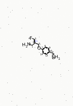 NC/C(=C\F)COc1ccc(SN)cc1